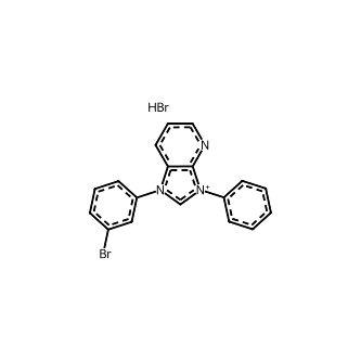 Br.Brc1cccc(-n2c[n+](-c3ccccc3)c3ncccc32)c1